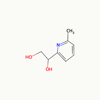 Cc1cccc(C(O)CO)n1